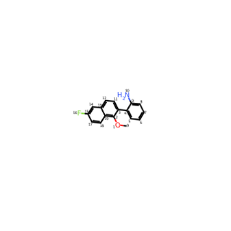 COc1c(-c2ccccc2N)ccc2cc(F)ccc12